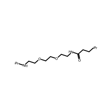 CC(C)CCC(=O)NCCOCCOCCNC(C)C